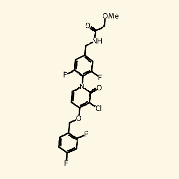 COCC(=O)NCc1cc(F)c(-n2ccc(OCc3ccc(F)cc3F)c(Cl)c2=O)c(F)c1